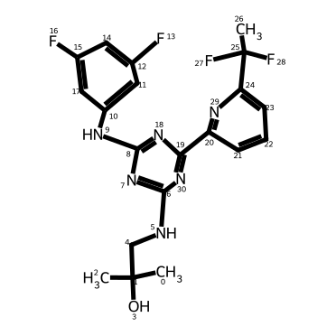 CC(C)(O)CNc1nc(Nc2cc(F)cc(F)c2)nc(-c2cccc(C(C)(F)F)n2)n1